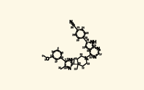 COc1cccc(-c2[nH]c(C3(C)CCN(c4ncnc5[nH]c(-c6ccc(C#N)cc6)cc45)CC3)nc2C)c1